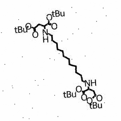 CC(C)(C)OC(=O)CC(NCCCCCCCCCCCCNC(CC(=O)OC(C)(C)C)C(=O)OC(C)(C)C)C(=O)OC(C)(C)C